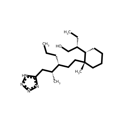 CCC[C@H](CC[C@@]1(C)CCCC[C@H]1[C@@H](CC)CO)[C@H](C)Cc1nnn[nH]1